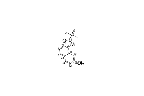 CC(C)(C)c1nc2c(ccc3ccc(O)cc32)o1